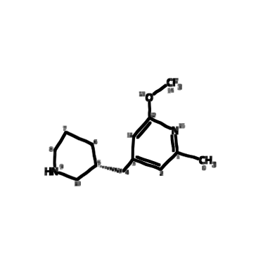 Cc1cc(C[C@H]2CCCNC2)cc(OC(F)(F)F)n1